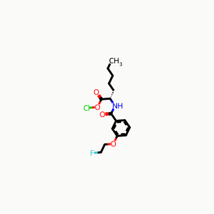 CCCCC[C@H](NC(=O)c1cccc(OCCF)c1)C(=O)OCl